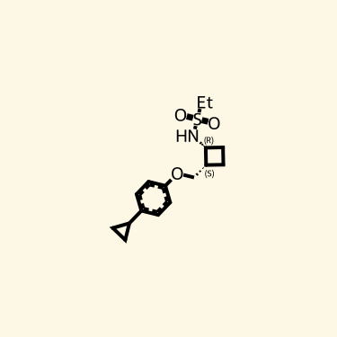 CCS(=O)(=O)N[C@@H]1CC[C@@H]1COc1ccc(C2CC2)cc1